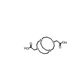 O=C(O)CN1CCCN2CCCN(CCCN(CC(=O)O)CC2)CC1